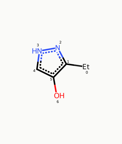 CCc1n[nH]cc1O